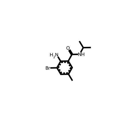 Cc1cc(Br)c(N)c(C(=O)NC(C)C)c1